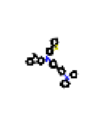 CC1(C)c2ccccc2-c2ccc(N(c3ccc(-c4ccc(N(c5ccccc5)c5ccccc5)cc4)cc3)c3ccc4c(c3)sc3ccccc34)cc21